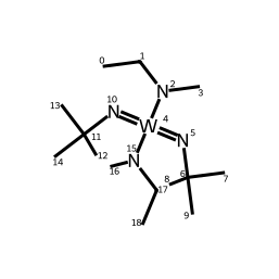 CC[N](C)[W](=[N]C(C)(C)C)(=[N]C(C)(C)C)[N](C)CC